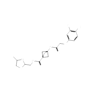 CC1CSC(CNC(=O)C23CC(NC(=O)COc4ccc(Cl)c(F)c4)(C2)C3)N1